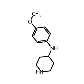 FC(F)(F)Oc1ccc(NC2CCNCC2)cc1